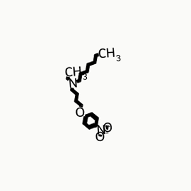 CCCCCCCN(CC)CCCCOc1ccc([N+](=O)[O-])cc1